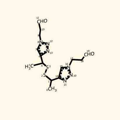 CC(SSC(C)c1cn(CCC=O)nn1)c1cn(CCC=O)nn1